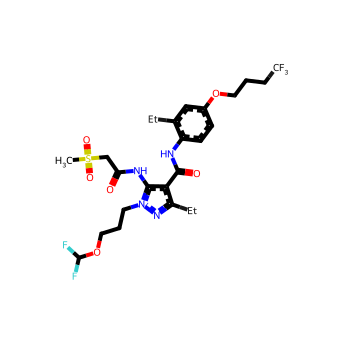 CCc1cc(OCCCC(F)(F)F)ccc1NC(=O)c1c(CC)nn(CCCOC(F)F)c1NC(=O)CS(C)(=O)=O